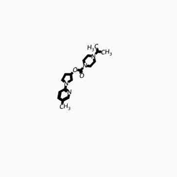 Cc1ccc(N2CCC(OC(=O)N3CCN(C(C)C)CC3)C2)nc1